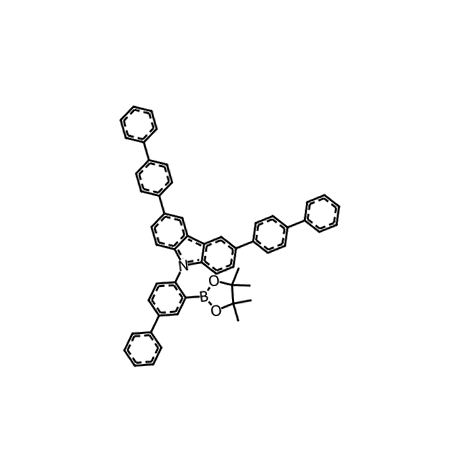 CC1(C)OB(c2cc(-c3ccccc3)ccc2-n2c3ccc(-c4ccc(-c5ccccc5)cc4)cc3c3cc(-c4ccc(-c5ccccc5)cc4)ccc32)OC1(C)C